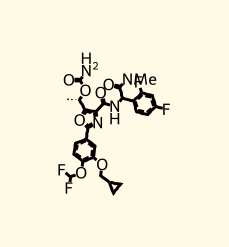 CNC(=O)C(NC(=O)c1nc(-c2ccc(OC(F)F)c(OCC3CC3)c2)oc1[C@H](C)OC(N)=O)c1ccc(F)cc1F